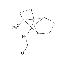 C[C@]12CCC13C1CCC(C1)C32NCCl